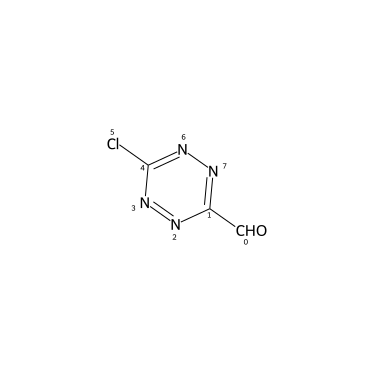 O=Cc1nnc(Cl)nn1